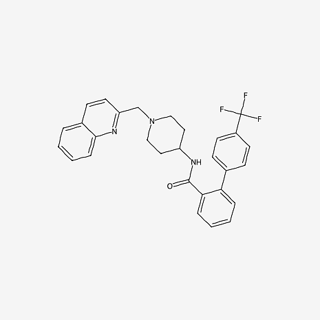 O=C(NC1CCN(Cc2ccc3ccccc3n2)CC1)c1ccccc1-c1ccc(C(F)(F)F)cc1